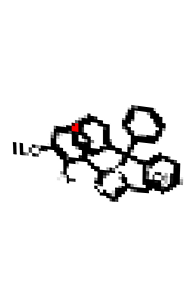 Cc1cccc(-c2ncc(CO)n2C(c2ccccc2)(c2ccccc2)c2ccccc2)c1C